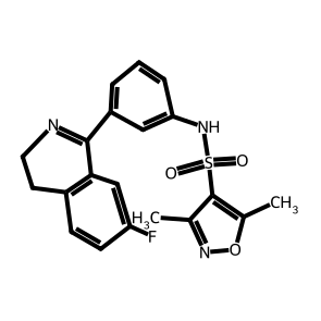 Cc1noc(C)c1S(=O)(=O)Nc1cccc(C2=NCCc3ccc(F)cc32)c1